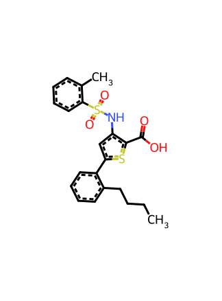 CCCCc1ccccc1-c1cc(NS(=O)(=O)c2ccccc2C)c(C(=O)O)s1